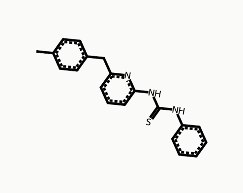 Cc1ccc(Cc2cccc(NC(=S)Nc3ccccc3)n2)cc1